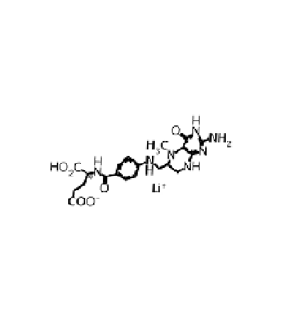 CN1c2c(nc(N)[nH]c2=O)NCC1CNc1ccc(C(=O)N[C@@H](CCC(=O)[O-])C(=O)O)cc1.[Li+]